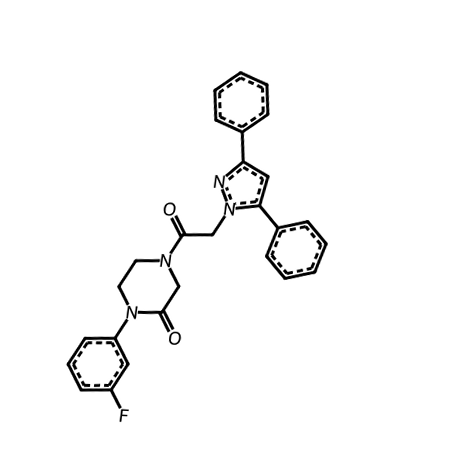 O=C(Cn1nc(-c2ccccc2)cc1-c1ccccc1)N1CCN(c2cccc(F)c2)C(=O)C1